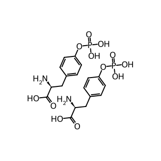 N[C@@H](Cc1ccc(OP(=O)(O)O)cc1)C(=O)O.N[C@@H](Cc1ccc(OP(=O)(O)O)cc1)C(=O)O